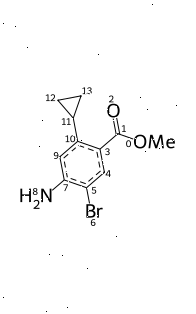 COC(=O)c1cc(Br)c(N)cc1C1CC1